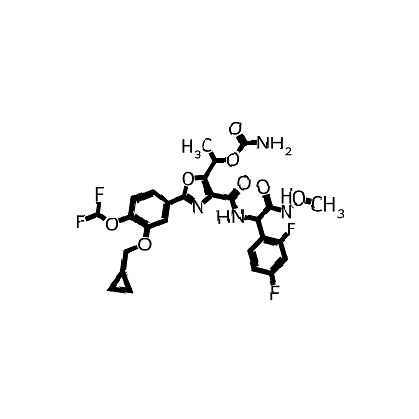 CONC(=O)C(NC(=O)c1nc(-c2ccc(OC(F)F)c(OCC3CC3)c2)oc1C(C)OC(N)=O)c1ccc(F)cc1F